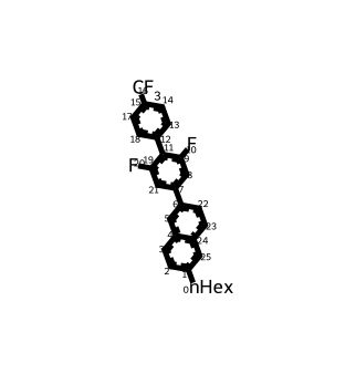 CCCCCCc1ccc2cc(-c3cc(F)c(-c4ccc(C(F)(F)F)cc4)c(F)c3)ccc2c1